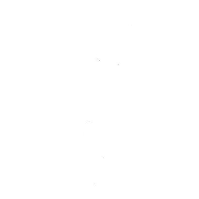 O=C(Nc1ccc(-c2nc(-c3ccc(F)cc3)co2)cc1)c1ccccc1Cl